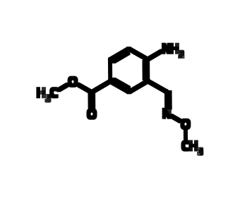 CON=Cc1cc(C(=O)OC)ccc1N